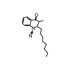 CCCCCCCCC1C(C)C(=O)c2ccccc2N1C#N